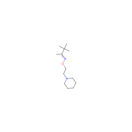 C/C(=N\OCCN1CCCCC1)C(C)(C)C